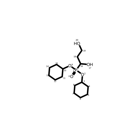 O=P(OC1CCCCC1)(OC1CCCCC1)C(O)CCO